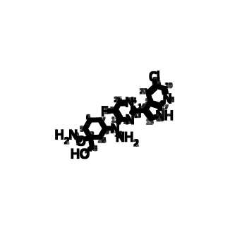 NOC1(CO)CCCC(N(N)c2nc(-c3c[nH]c4ncc(Cl)cc34)ncc2F)C1